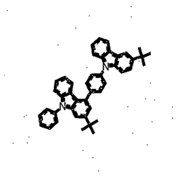 CC(C)(C)c1ccc2c(c1)c1ccccc1n2-c1ccc(-c2cc(C(C)(C)C)cc3c2c2ccccc2n3-c2ccccc2)cc1